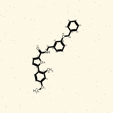 COc1ccc(-c2ccc(C(=O)NCc3cccc(OCc4ccccc4)c3)o2)c(C)c1